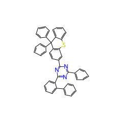 c1ccc(-c2nc(-c3ccc4c(c3)Sc3ccccc3C4(c3ccccc3)c3ccccc3)nc(-c3ccccc3-c3ccccc3)n2)cc1